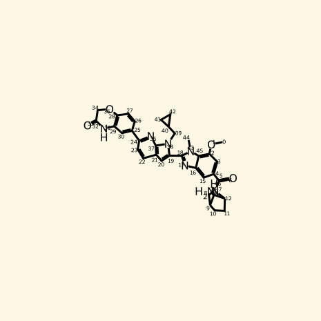 COc1cc(C(=O)N2CC3CCC2[C@@H]3N)cc2nc(-c3cc4ccc(-c5ccc6c(c5)NC(=O)CO6)nc4n3CC3CC3)n(C)c12